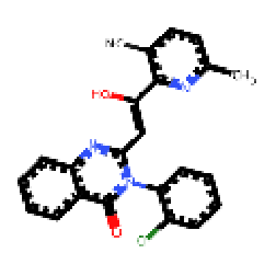 Cc1ccc(C#N)c(/C(O)=C/c2nc3ccccc3c(=O)n2-c2ccccc2Cl)n1